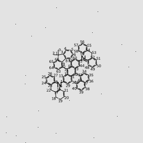 CC1(C)c2ccccc2-c2c(-c3c4cc(N5C6=C(CCC=C6)Cc6ccccc65)ccc4c(-c4cccc5ccccc45)c4cc(N5c6ccccc6Cc6ccccc65)ccc34)cccc21